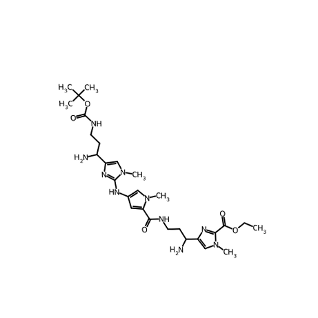 CCOC(=O)c1nc(C(N)CCNC(=O)c2cc(Nc3nc(C(N)CCNC(=O)OC(C)(C)C)cn3C)cn2C)cn1C